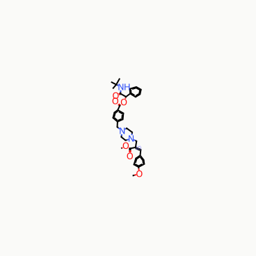 COC(=O)/C(=C\c1ccc(OC)cc1)CN1CCN(Cc2ccc(C(=O)OC(C(=O)NC(C)(C)C)c3ccccc3)cc2)CC1